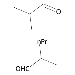 CC(C)C=O.CCCC(C)C=O